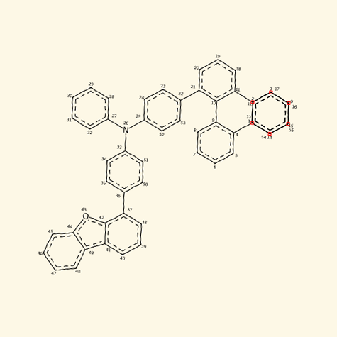 c1ccc(-c2ccccc2-c2c(-c3ccccc3)cccc2-c2ccc(N(c3ccccc3)c3ccc(-c4cccc5c4oc4ccccc45)cc3)cc2)cc1